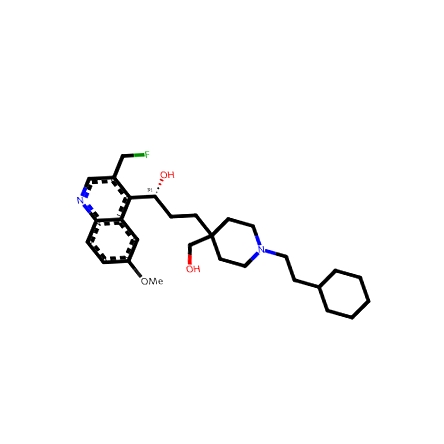 COc1ccc2ncc(CF)c([C@H](O)CCC3(CO)CCN(CCC4CCCCC4)CC3)c2c1